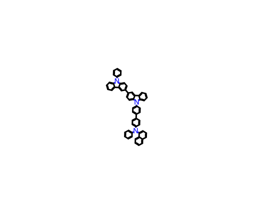 c1ccc(N(c2ccc(-c3ccc(-n4c5ccccc5c5cc(-c6ccc7c(c6)c6ccccc6n7-c6ccccc6)ccc54)cc3)cc2)c2cccc3ccccc23)cc1